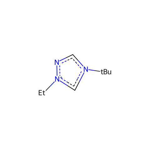 CC[n+]1cn(C(C)(C)C)cn1